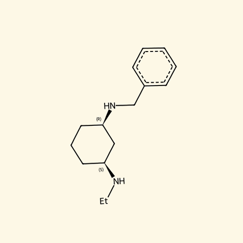 CCN[C@H]1CCC[C@@H](NCc2ccccc2)C1